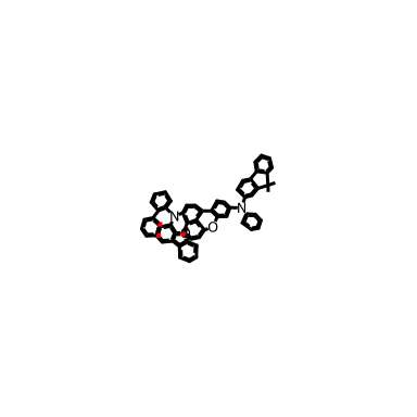 CC1(C)c2ccccc2-c2ccc(N(c3ccccc3)c3ccc4c(c3)Oc3cccc5c(N(c6ccccc6-c6ccccc6)c6cccc7c6oc6ccccc67)ccc-4c35)cc21